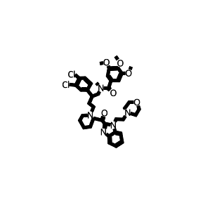 COc1cc(C(=O)N(C)CC(CCN2CCCCC2C(=O)c2nc3ccccc3n2CCN2CCOCC2)c2ccc(Cl)c(Cl)c2)cc(OC)c1OC